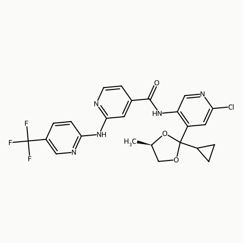 C[C@@H]1COC(c2cc(Cl)ncc2NC(=O)c2ccnc(Nc3ccc(C(F)(F)F)cn3)c2)(C2CC2)O1